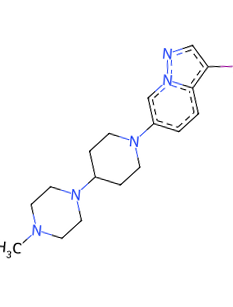 CN1CCN(C2CCN(c3ccc4c(I)cnn4c3)CC2)CC1